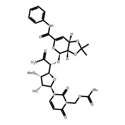 CO[C@H]1[C@@H](O)[C@H](n2ccc(=O)n(COC(=O)C(C)(C)C)c2=O)O[C@@H]1[C@@H](O[C@H]1OC(C(=O)Nc2ccccc2)=C[C@@H]2OC(C)(C)O[C@H]12)C(N)=O